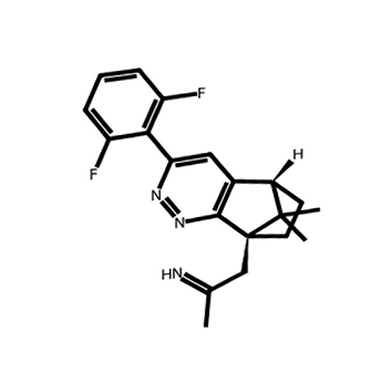 CC(=N)C[C@@]12CC[C@@H](c3cc(-c4c(F)cccc4F)nnc31)C2(C)C